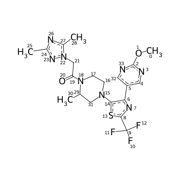 COc1ncc(-c2nc(C(F)(F)F)sc2N2CCN(C(=O)Cn3nc(C)nc3C)C(C)C2)cn1